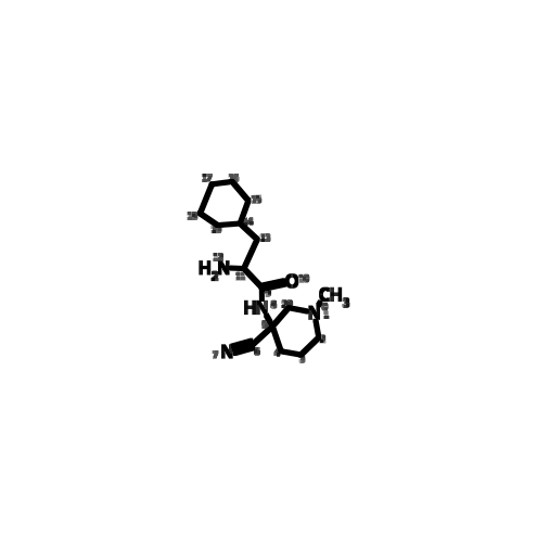 CN1CCCC(C#N)(NC(=O)C(N)CC2CCCCC2)C1